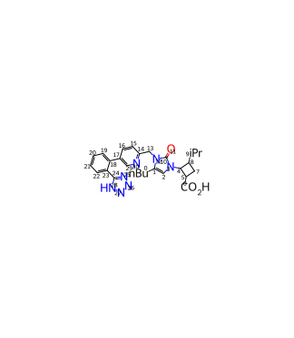 CCCCc1cn(C2C(C(=O)O)CC2C(C)C)c(=O)n1Cc1ccc(-c2ccccc2-c2nnn[nH]2)cn1